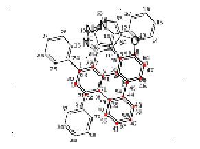 c1ccc(-c2ccccc2-c2c(-c3ccccc3)nnnc2-c2c(-c3ccccc3)cc(-c3ccccc3)c(-c3ccccc3-c3ccccc3)c2-c2c(-c3ccccc3)ccc3oc4ccccc4c23)cc1